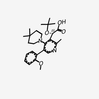 COc1ccccc1-c1cnc(C)c([C@H](OC(C)(C)C)C(=O)O)c1N1CCC(C)(C)CC1